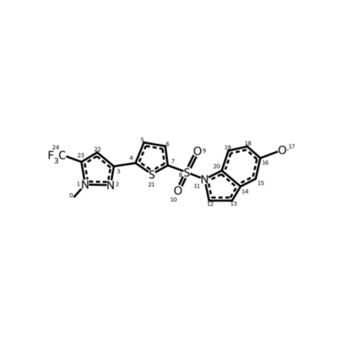 Cn1nc(-c2ccc(S(=O)(=O)n3ccc4cc([O])ccc43)s2)cc1C(F)(F)F